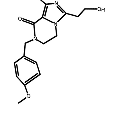 COc1ccc(CN2CCn3c(CCO)nc(C)c3C2=O)cc1